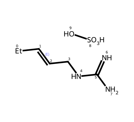 CC/C=C/CNC(=N)N.O=S(=O)(O)O